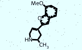 COc1cccc2cc(C3=CCNC(C)C3)oc12